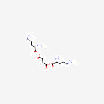 NCCC[C@@H](N)C(=O)OC(=O)CCC(=O)OC(=O)[C@H](N)CCCN